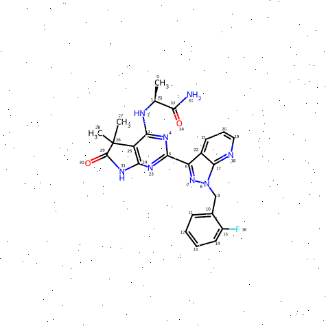 C[C@H](Nc1nc(-c2nn(Cc3ccccc3F)c3ncccc23)nc2c1C(C)(C)C(=O)N2)C(N)=O